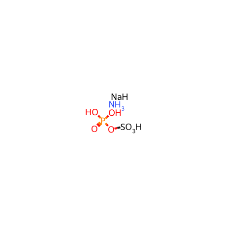 N.O=P(O)(O)OS(=O)(=O)O.[NaH]